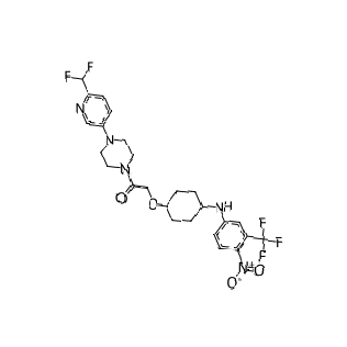 O=C(COC1CCC(Nc2ccc([N+](=O)[O-])c(C(F)(F)F)c2)CC1)N1CCN(c2ccc(C(F)F)nc2)CC1